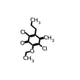 C=C1C(Cl)=C(OCC)C(=O)C(Cl)=C1CCC